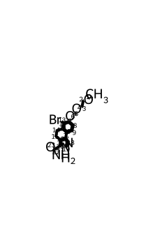 COCCOCOc1ccc2c(c1Br)CCc1c-2n[nH]c1C(N)=O